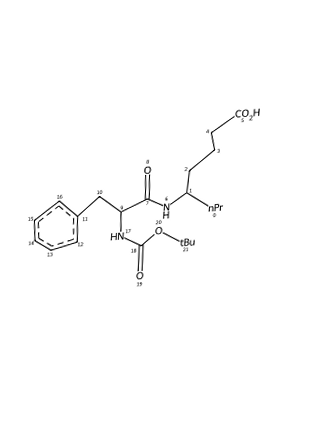 CCCC(CCCC(=O)O)NC(=O)C(Cc1ccccc1)NC(=O)OC(C)(C)C